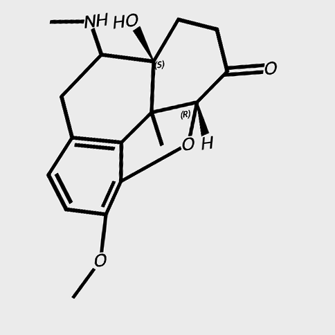 CNC1Cc2ccc(OC)c3c2C2(C)[C@@H](O3)C(=O)CC[C@@]12O